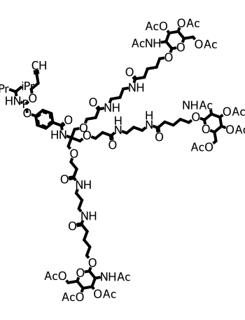 C#CCCOP(NC(C(C)C)C(C)C)Oc1ccc(C(=O)NC(COCCC(=O)NCCCNC(=O)CCCCOC2OC(COC(C)=O)C(OC(C)=O)C(OC(C)=O)C2NC(C)=O)(COCCC(=O)NCCCNC(=O)CCCCOC2OC(COC(C)=O)C(OC(C)=O)C(OC(C)=O)C2NC(C)=O)COCCC(=O)NCCCNC(=O)CCCCOC2OC(COC(C)=O)C(OC(C)=O)C(OC(C)=O)C2NC(C)=O)cc1